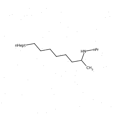 CCCCCCCCCCCCCC(C)NCCC